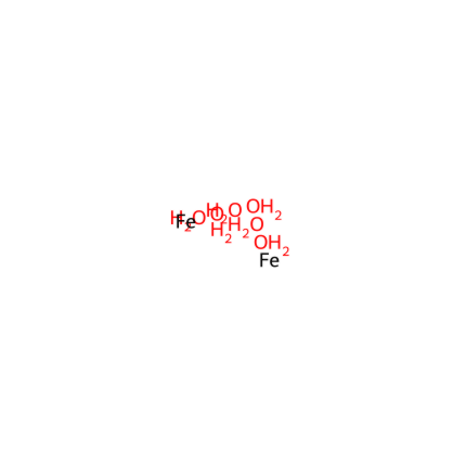 O.O.O.O.O.O.[Fe].[Fe]